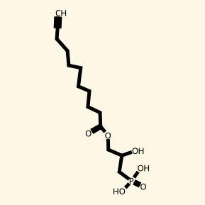 C#CCCCCCCCCC(=O)OCC(O)CP(=O)(O)O